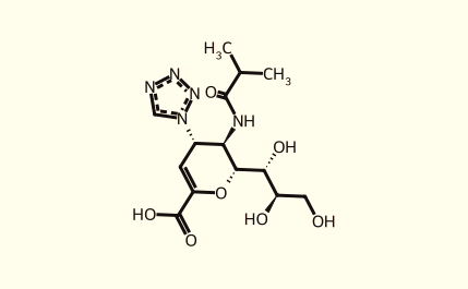 CC(C)C(=O)N[C@H]1[C@H]([C@H](O)[C@H](O)CO)OC(C(=O)O)=C[C@@H]1n1cnnn1